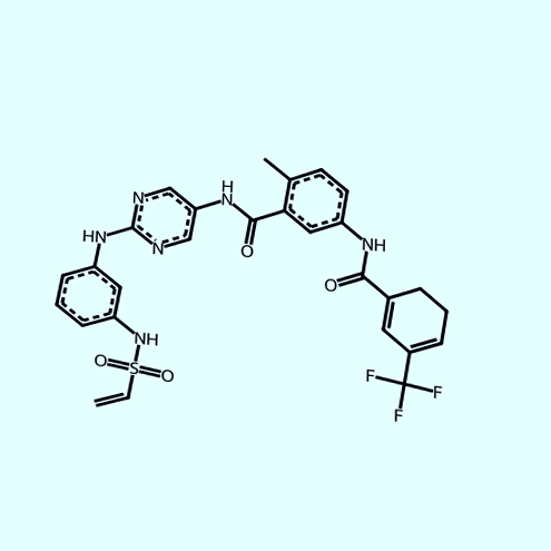 C=CS(=O)(=O)Nc1cccc(Nc2ncc(NC(=O)c3cc(NC(=O)C4=CC(C(F)(F)F)=CCC4)ccc3C)cn2)c1